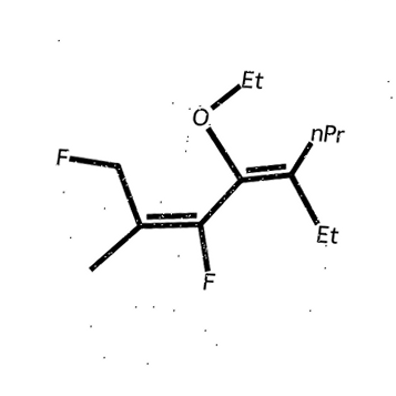 CCC/C(CC)=C(OCC)/C(F)=C(/C)CF